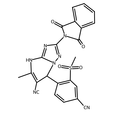 [C-]#[N+]C1=C(C)Nc2nc(N3C(=O)c4ccccc4C3=O)nn2C1c1ccc(C#N)cc1S(C)(=O)=O